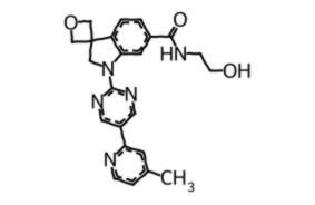 Cc1ccnc(-c2cnc(N3CC4(COC4)c4ccc(C(=O)NCCO)cc43)nc2)c1